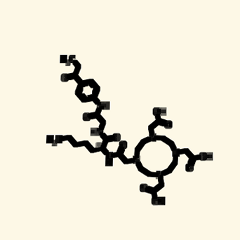 CCC(=O)c1ccc(NC(=O)CNC(=O)[C@H](CCCCN)NC(=O)CN2CCN(CC(=O)O)CCN(CC(=O)O)CCN(CC(=O)O)CC2)cc1